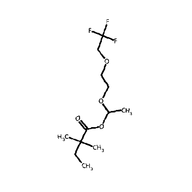 CCC(C)(C)C(=O)OC(C)OCCOCC(F)(F)F